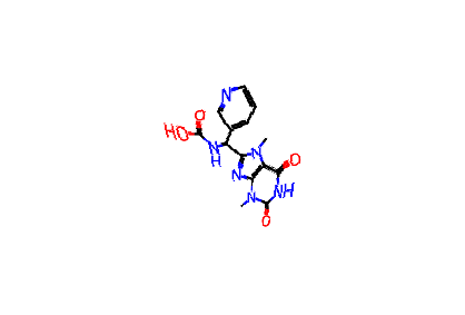 Cn1c(C(NC(=O)O)c2cccnc2)nc2c1c(=O)[nH]c(=O)n2C